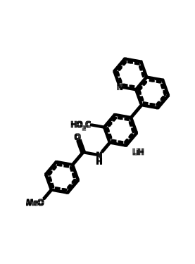 COc1ccc(C(=O)Nc2ccc(-c3cccc4cccnc34)cc2C(=O)O)cc1.[LiH]